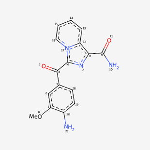 COc1cc(C(=O)c2nc(C(N)=O)c3ccccn23)ccc1N